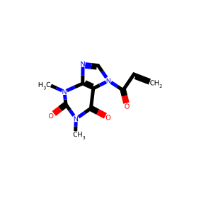 C=CC(=O)n1cnc2c1c(=O)n(C)c(=O)n2C